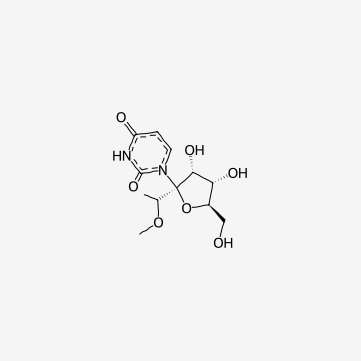 COC(C)[C@@]1(n2ccc(=O)[nH]c2=O)O[C@H](CO)[C@@H](O)[C@H]1O